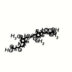 COc1cc2nc(C(=O)CCC(=O)O)ccc2c(F)c1CCNCCc1c(OC)cc2sc(C(=O)CC(C)(C)C(=O)O)cc2c1F